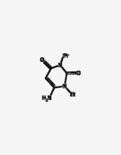 CCn1c(N)cc(=O)n(C(C)C)c1=O